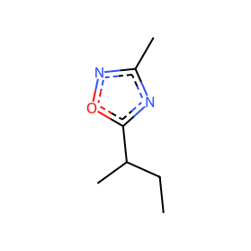 CCC(C)c1nc(C)no1